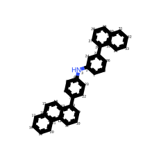 c1cc(Nc2ccc(-c3cccc4c3ccc3ccccc34)cc2)cc(-c2cccc3ccccc23)c1